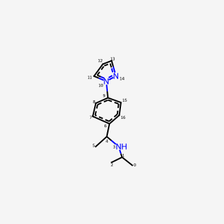 CC(C)NC(C)c1ccc(-n2cccn2)cc1